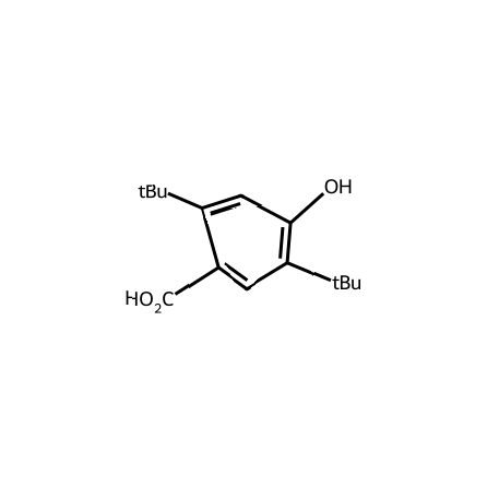 CC(C)(C)c1cc(C(=O)O)c(C(C)(C)C)cc1O